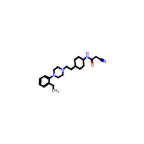 CCc1ccccc1N1CCN(CCC2CCC(NC(=O)CC#N)CC2)CC1